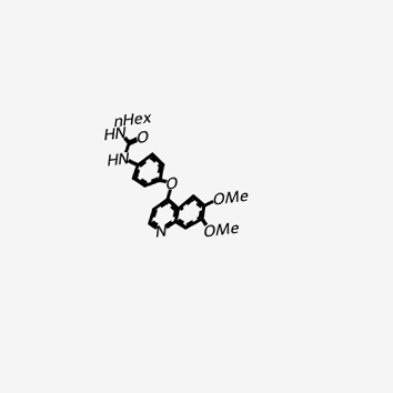 CCCCCCNC(=O)Nc1ccc(Oc2ccnc3cc(OC)c(OC)cc23)cc1